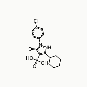 O=c1c(P(=O)(O)O)c(C2CCCCC2)[nH]n1-c1ccc(Cl)cc1